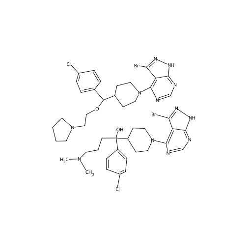 CN(C)CCCC(O)(c1ccc(Cl)cc1)C1CCN(c2ncnc3[nH]nc(Br)c23)CC1.Clc1ccc(C(OCCN2CCCC2)C2CCN(c3ncnc4[nH]nc(Br)c34)CC2)cc1